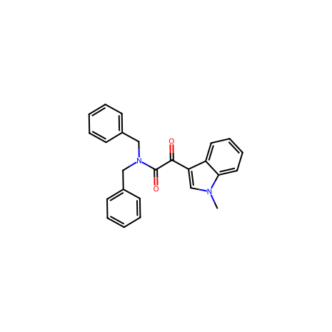 Cn1cc(C(=O)C(=O)N(Cc2ccccc2)Cc2ccccc2)c2ccccc21